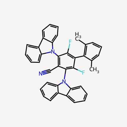 Cc1cccc(C)c1-c1c(F)c(-n2c3ccccc3c3ccccc32)c(C#N)c(-n2c3ccccc3c3ccccc32)c1F